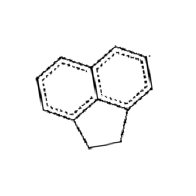 [c]1cc2c3c(cccc3c1)CC2